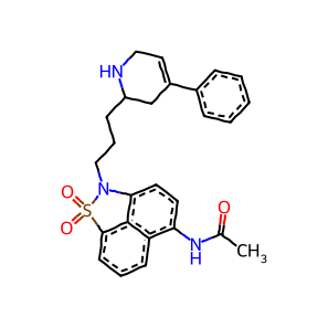 CC(=O)Nc1ccc2c3c(cccc13)S(=O)(=O)N2CCCC1CC(c2ccccc2)=CCN1